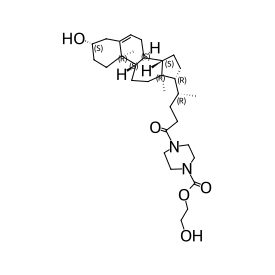 C[C@H](CCC(=O)N1CCN(C(=O)OCCO)CC1)[C@H]1CC[C@H]2[C@@H]3CC=C4C[C@@H](O)CC[C@]4(C)[C@H]3CC[C@]12C